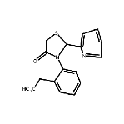 O=C(O)Cc1ccccc1N1C(=O)CSC1c1ccccn1